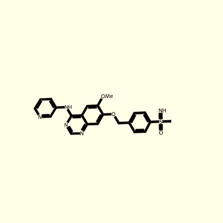 COc1cc2c(Nc3cccnc3)ncnc2cc1OCc1ccc(S(C)(=N)=O)cc1